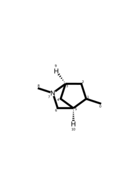 CC1C[C@H]2C[C@@H]1CN2C